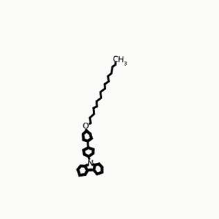 CCCCCCCCCCCCCCCCOc1ccc(-c2ccc(-n3c4ccccc4c4ccccc43)cc2)cc1